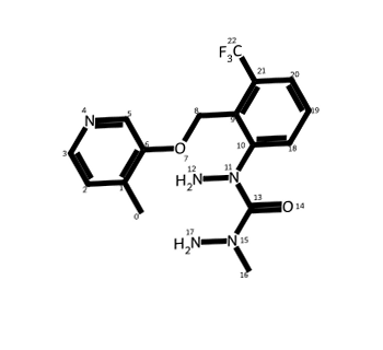 Cc1ccncc1OCc1c(N(N)C(=O)N(C)N)cccc1C(F)(F)F